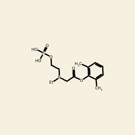 CCN(CCOP(=O)(O)O)CC(=O)Oc1c(C)cccc1C